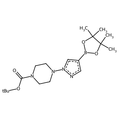 CC(C)(C)OC(=O)N1CCN(n2cc(B3OC(C)(C)C(C)(C)O3)cn2)CC1